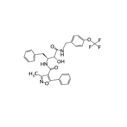 Cc1noc(-c2ccccc2)c1C(=O)N[C@@H](Cc1ccccc1)C(O)C(=O)NCc1ccc(OC(F)(F)F)cc1